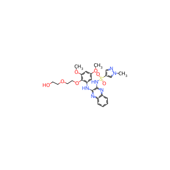 COc1cc(Nc2nc3ccccc3nc2NS(=O)(=O)c2cnn(C)c2)c(OCCOCCO)c(OC)c1